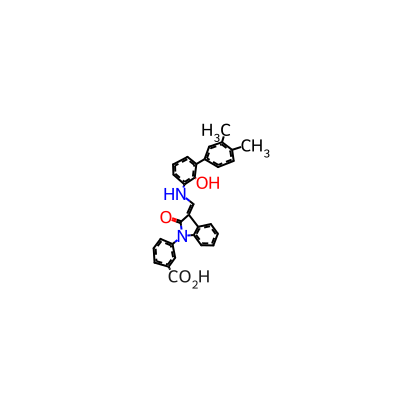 Cc1ccc(-c2cccc(NC=C3C(=O)N(c4cccc(C(=O)O)c4)c4ccccc43)c2O)cc1C